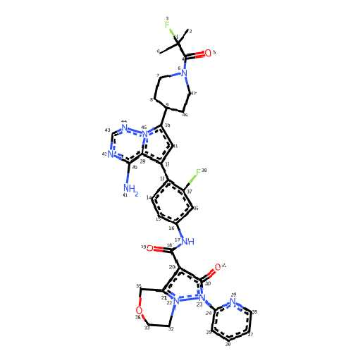 CC(C)(F)C(=O)N1CCC(c2cc(-c3ccc(NC(=O)c4c5n(n(-c6ccccn6)c4=O)CCOC5)cc3F)c3c(N)ncnn23)CC1